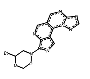 CCC1CN(n2ncc3c2ncc2cnc4ncnn4c23)SCO1